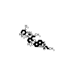 C=N/C(=N\C(=C/C)c1cccnc1Oc1c(C)ccc2c(NS(=O)(=O)CCC)c(F)ccc12)N[C@@H]1CNCC[C@H]1C